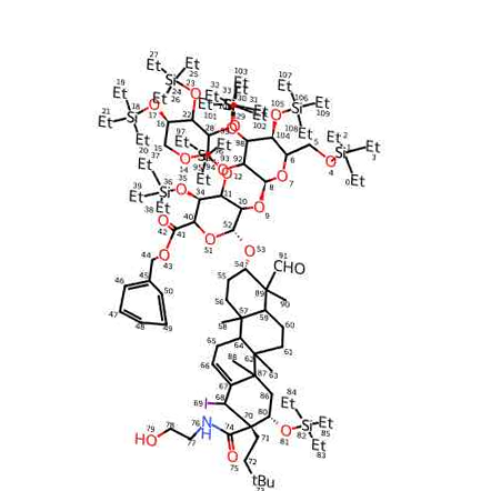 CC[Si](CC)(CC)OCC1O[C@@H](OC2C(O[C@@H]3OC[C@@H](O[Si](CC)(CC)CC)C(O[Si](CC)(CC)CC)C3O[Si](CC)(CC)CC)[C@H](O[Si](CC)(CC)CC)C(C(=O)OCc3ccccc3)O[C@H]2O[C@H]2CCC3(C)C(CCC4(C)C3CC=C3C(I)[C@@](CCC(C)(C)C)(C(=O)NCCO)[C@@H](O[Si](CC)(CC)CC)CC34C)C2(C)C=O)C(O[Si](CC)(CC)CC)C(O[Si](CC)(CC)CC)[C@H]1O[Si](CC)(CC)CC